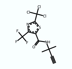 C#CC(C)(C)NC(=O)c1sc(C(Cl)(Cl)Cl)nc1C(F)(F)F